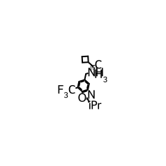 CC(C)c1nc2cc(CN[C@@H](C)C3CCC3)cc(C(F)(F)F)c2o1